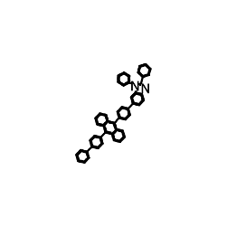 c1ccc(-c2ccc(-c3c4ccccc4c(-c4ccc(-c5ccc6nc(-c7ccccc7)n(-c7ccccc7)c6c5)cc4)c4ccccc34)cc2)cc1